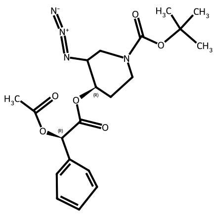 CC(=O)O[C@@H](C(=O)O[C@@H]1CCN(C(=O)OC(C)(C)C)CC1N=[N+]=[N-])c1ccccc1